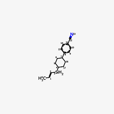 CC=C[SiH2]C1CCC(c2ccc(C#N)cc2)CC1